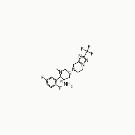 CN1C[C@H](N2CCn3nc(C(F)(F)F)nc3C2)C[C@H](N)C1c1cc(F)ccc1F